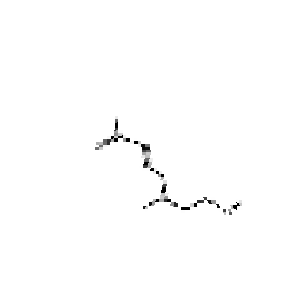 COCCN(C)CC=CC(C)=O